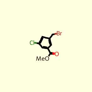 COC(=O)c1cc(Cl)cc(CBr)c1